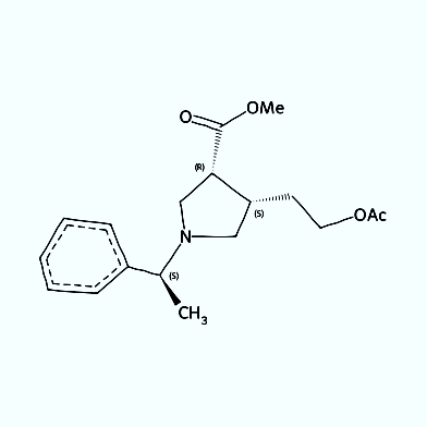 COC(=O)[C@H]1CN([C@@H](C)c2ccccc2)C[C@H]1CCOC(C)=O